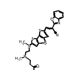 CN(CCC(=O)O)CCN(C)c1cc2sc3cc(/C=C(\C#N)c4nc5ccccc5o4)sc3c2s1